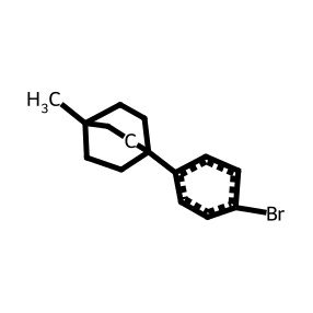 CC12CCC(c3ccc(Br)cc3)(CC1)CC2